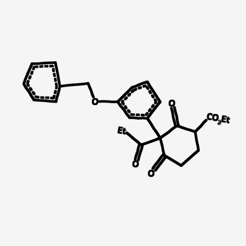 CCOC(=O)C1CCC(=O)C(C(=O)CC)(c2cccc(OCc3ccccc3)c2)C1=O